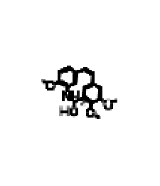 COc1ccc(/C=C\c2cc(CO)c(OC)c(OC)c2)cc1N